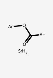 CC(=O)OC(=O)C(C)=O.[SrH2]